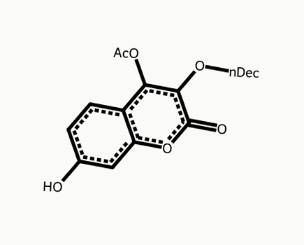 CCCCCCCCCCOc1c(OC(C)=O)c2ccc(O)cc2oc1=O